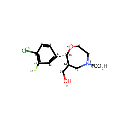 O=C(O)N1CCO[C@@H](c2ccc(Cl)c(F)c2)C(CO)C1